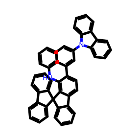 CC1CC=C(n2c3ccccc3c3ccccc32)C=C1c1ccc2c(c1Nc1ccccc1)C1(c3ccccc3-c3ccccc31)c1ccccc1-2